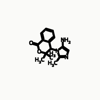 Cc1ncc(N)n1C1c2ccccc2C(=O)OC1(C)C